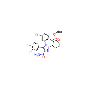 CC(C)(C)OC(=O)Cc1ccc(Cl)cc1-n1c(C2CCCCC2)nc(C(N)=O)c1-c1ccc(F)c(Cl)c1